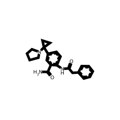 NC(=O)c1cc(C2(N3CCCC3)CC2)ccc1NC(=O)[CH]c1ccccc1